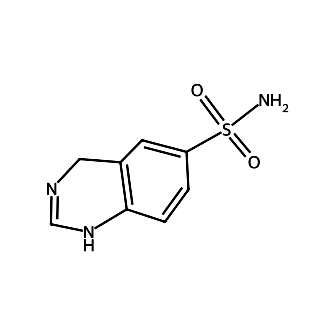 NS(=O)(=O)c1ccc2c(c1)CN=CN2